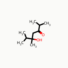 CC(C)C(=O)CC(C)(O)C(C)C